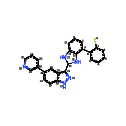 Fc1ccccc1-c1cccc2c1NC(c1n[nH]c3ccc(-c4cccnc4)cc13)N2